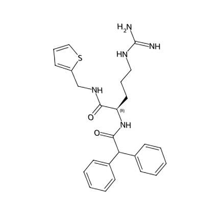 N=C(N)NCCC[C@@H](NC(=O)C(c1ccccc1)c1ccccc1)C(=O)NCc1cccs1